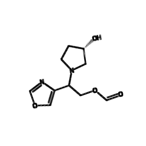 O=COCC(c1cocn1)N1CC[C@H](O)C1